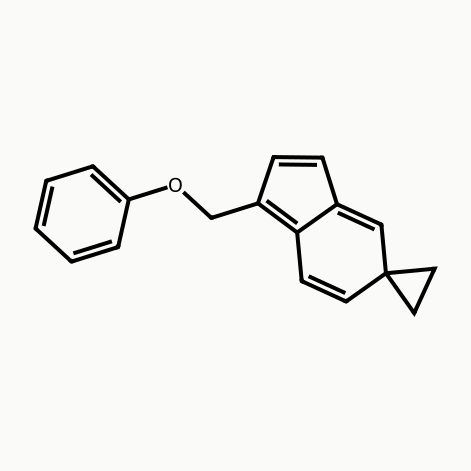 C1=CC(COc2ccccc2)=C2C=CC3(C=C12)CC3